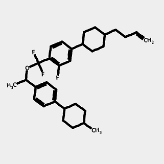 C=CCCC1CCC(c2ccc(C(F)(F)OC(C)c3ccc(C4CCC(C)CC4)cc3)c(F)c2)CC1